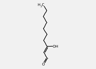 CCCCCCCC(O)=C[C]=O